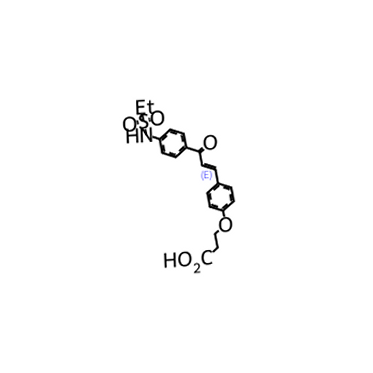 CCS(=O)(=O)Nc1ccc(C(=O)/C=C/c2ccc(OCCC(=O)O)cc2)cc1